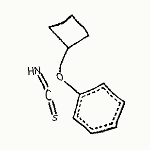 N=C=S.c1ccc(OC2CCC2)cc1